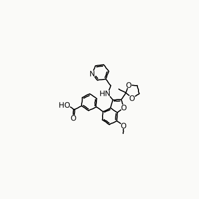 COc1ccc(-c2cccc(C(=O)O)c2)c2c(NCc3cccnc3)c(C3(C)OCCO3)oc12